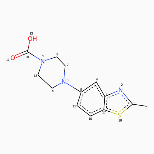 Cc1nc2cc(N3CCN(C(=O)O)CC3)ccc2s1